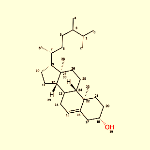 CC(C)C(C)CC[C@@H](C)[C@H]1CC[C@H]2C3CC=C4C[C@@H](O)CC[C@]4(C)[C@H]3CC[C@]12C